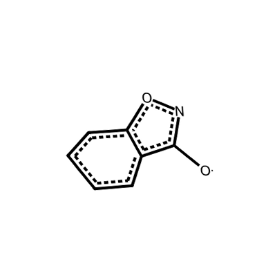 [O]c1noc2ccccc12